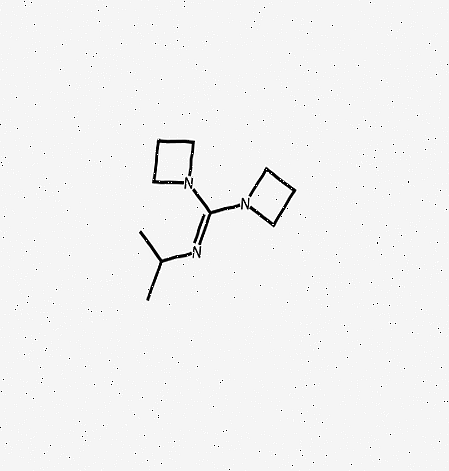 CC(C)N=C(N1CCC1)N1CCC1